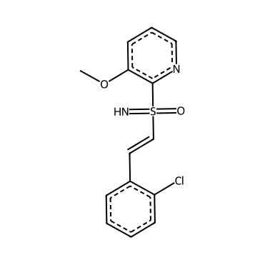 COc1cccnc1S(=N)(=O)/C=C/c1ccccc1Cl